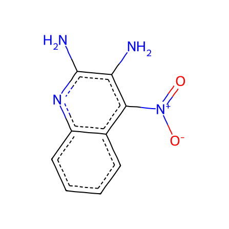 Nc1nc2ccccc2c([N+](=O)[O-])c1N